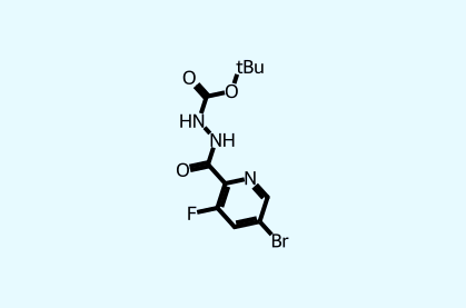 CC(C)(C)OC(=O)NNC(=O)c1ncc(Br)cc1F